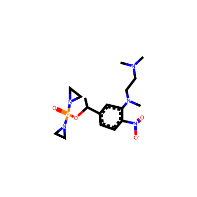 CC(OP(=O)(N1CC1)N1CC1)c1ccc([N+](=O)[O-])c(N(C)CCN(C)C)c1